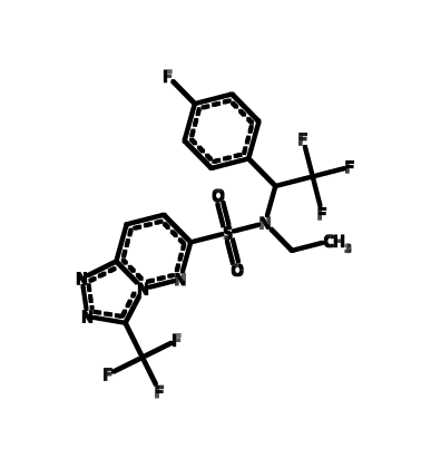 CCN(C(c1ccc(F)cc1)C(F)(F)F)S(=O)(=O)c1ccc2nnc(C(F)(F)F)n2n1